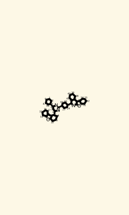 c1ccc(-c2cc(-c3cccc4oc5ccccc5c34)nc(-c3ccc(-c4nc5oc6ccccc6c5c5ccccc45)cc3)n2)cc1